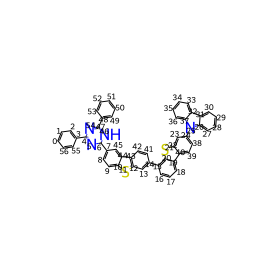 c1ccc(C2=NC(c3ccc4sc5cc(-c6cccc7c6sc6cc(-n8c9ccccc9c9ccccc98)ccc67)ccc5c4c3)NC(c3ccccc3)=N2)cc1